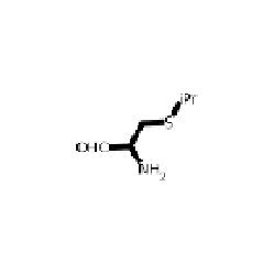 CC(C)SCC(N)C=O